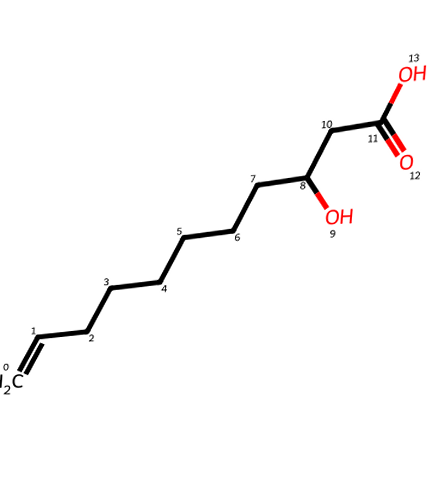 C=CCCCCCCC(O)CC(=O)O